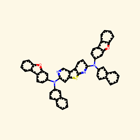 c1ccc2cc(N(c3ccc4c(c3)oc3ccccc34)c3cc4sc5nc(N(c6ccc7ccccc7c6)c6ccc7c(c6)oc6ccccc67)ccc5c4cn3)ccc2c1